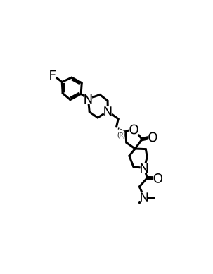 CN(C)CC(=O)N1CCC2(CC1)C[C@H](CCN1CCN(c3ccc(F)cc3)CC1)OC2=O